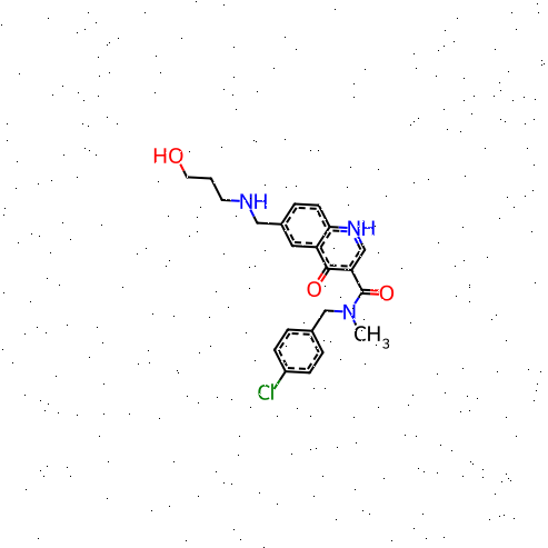 CN(Cc1ccc(Cl)cc1)C(=O)c1c[nH]c2ccc(CNCCCO)cc2c1=O